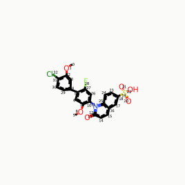 COc1cc(-c2cc(OC)c(-n3c(=O)ccc4cc(S(=O)(=O)O)ccc43)cc2F)ccc1Cl